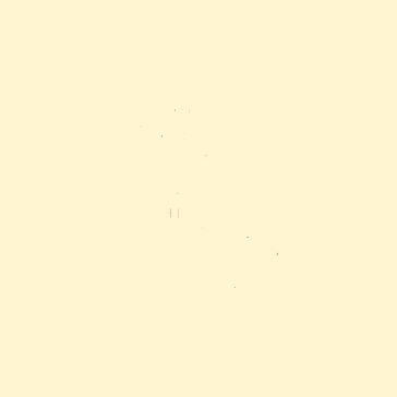 CCCCCC(C)(C)c1ccc(OCc2ccccc2)c(O)c1